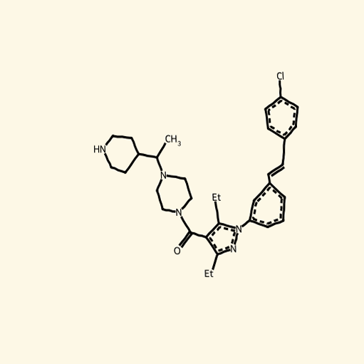 CCc1nn(-c2cccc(C=Cc3ccc(Cl)cc3)c2)c(CC)c1C(=O)N1CCN(C(C)C2CCNCC2)CC1